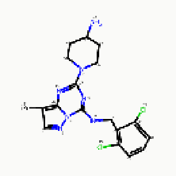 CC(C)c1cnn2c(NCc3c(Cl)cccc3Cl)nc(N3CCC(N)CC3)nc12